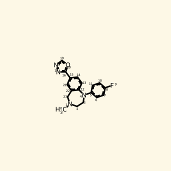 CN1CCN(c2ccc(F)cc2)c2ccc(-c3nnco3)cc2C1